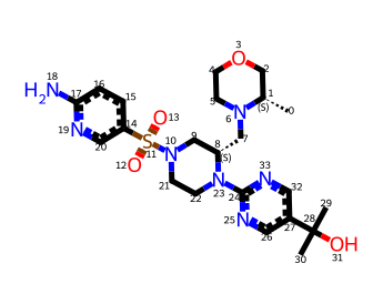 C[C@H]1COCCN1C[C@H]1CN(S(=O)(=O)c2ccc(N)nc2)CCN1c1ncc(C(C)(C)O)cn1